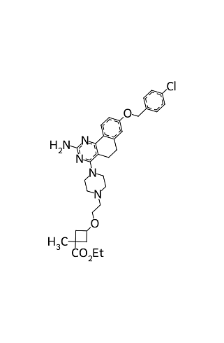 CCOC(=O)C1(C)CC(OCCN2CCN(c3nc(N)nc4c3CCc3cc(OCc5ccc(Cl)cc5)ccc3-4)CC2)C1